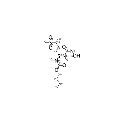 C=C(OC(=NO)N(C)SN(C)C(=O)OCCCC)C(C)S(C)(=O)=O